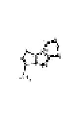 NC1=CCc2c1nc1ccccn21